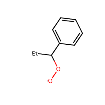 [CH2]CC(O[O])c1ccccc1